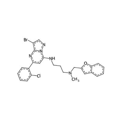 CN(CCCNc1cc(-c2ccccc2Cl)nc2c(Br)cnn12)Cc1cc2ccccc2o1